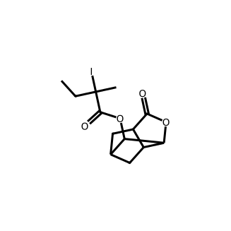 CCC(C)(I)C(=O)OC1C2CC3C(=O)OC1C3C2